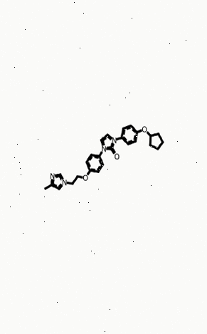 Cc1cn(CCOc2ccc(-n3ccn(-c4ccc(OC5CCCC5)cc4)c3=O)cc2)cn1